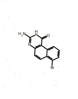 Nc1nc2ccc3c(Br)cccc3c2c(=O)[nH]1